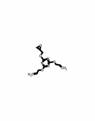 C=CCOc1nc(OCC=C)nc(OCC2CO2)n1